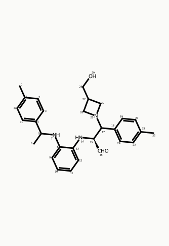 Cc1ccc(C(C)Nc2ccccc2N[C@H](C=O)C(c2ccc(C)cc2)N2CC(CO)C2)cc1